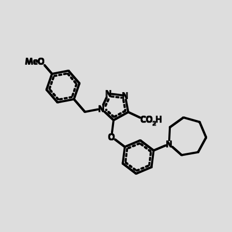 COc1ccc(Cn2nnc(C(=O)O)c2Oc2cccc(N3CCCCCC3)c2)cc1